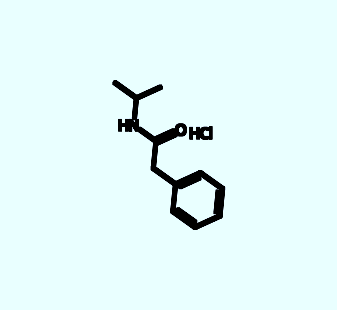 CC(C)NC(=O)Cc1ccccc1.Cl